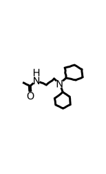 CC(=O)NCCN(C1CCCCC1)C1CCCCC1